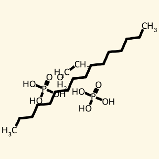 CC.CCCCCCCCCCCCCCCC.O.O=P(O)(O)O.O=P(O)(O)O